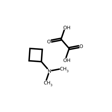 CN(C)C1CCC1.O=C(O)C(=O)O